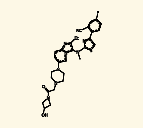 CCc1nc2ccc(N3CCN(CC(=O)N4CC(O)C4)CC3)cn2c1N(C)c1nc(-c2ccc(F)cc2C#N)cs1